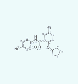 CCc1ccc(OC2CCOC2)c(C(Nc2ccc(C#N)cc2)C(=O)O)c1